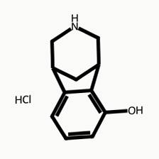 Cl.Oc1cccc2c1C1CNCC2C1